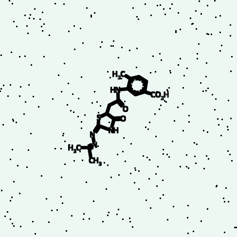 CC(C)=N/N=C1\NC(=O)C(CC(=O)Nc2cc(C(=O)O)ccc2C)S1